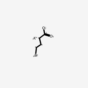 O=C([O-])CCCBr.[K+]